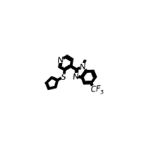 Cn1c(-c2ccncc2SC2CCCC2)nc2cc(C(F)(F)F)ccc21